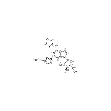 CCOC(=O)c1cnn(-c2nc(N[C@@H]3CCOC3)c3ncn([C@@H]4O[C@H](CO)[C@@H](O)[C@@H]4O)c3n2)c1